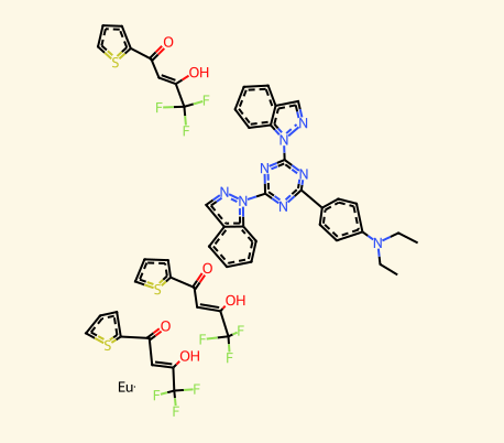 CCN(CC)c1ccc(-c2nc(-n3ncc4ccccc43)nc(-n3ncc4ccccc43)n2)cc1.O=C(/C=C(\O)C(F)(F)F)c1cccs1.O=C(/C=C(\O)C(F)(F)F)c1cccs1.O=C(/C=C(\O)C(F)(F)F)c1cccs1.[Eu]